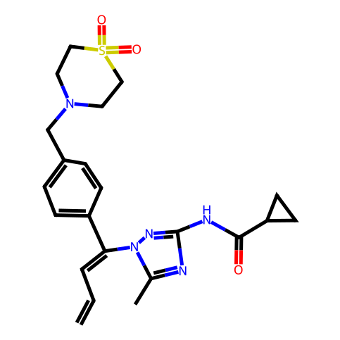 C=C/C=C(/c1ccc(CN2CCS(=O)(=O)CC2)cc1)n1nc(NC(=O)C2CC2)nc1C